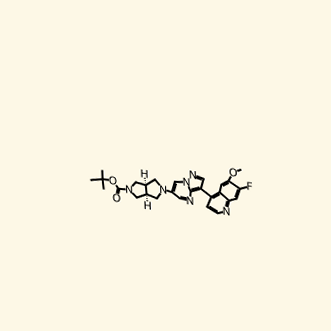 COc1cc2c(-c3cnn4cc(N5C[C@H]6CN(C(=O)OC(C)(C)C)C[C@H]6C5)cnc34)ccnc2cc1F